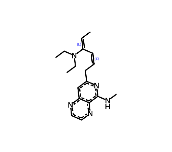 C/C=C(\C=C/Cc1cc2nccnc2c(NC)n1)N(CC)CC